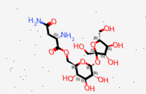 NC(=O)C[C@H](N)C(=O)OC[C@H]1O[C@H](O[C@]2(CO)O[C@H](CO)[C@@H](O)[C@@H]2O)[C@H](O)[C@@H](O)[C@@H]1O